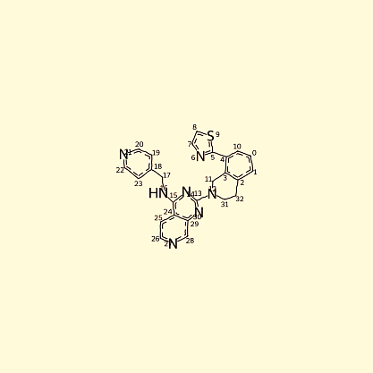 c1cc2c(c(-c3nccs3)c1)CN(c1nc(NCc3ccncc3)c3ccncc3n1)CC2